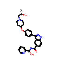 O=C(N[C@@H](O)c1ccccn1)c1ccc2[nH]nc(-c3ccc(OC4CCN(C[C@@H](O)C(F)(F)F)CC4)cc3)c2c1